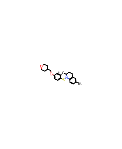 CCc1ccc2c(c1)CCC(C)N2Sc1ccc(OCC2CCOCC2)cc1